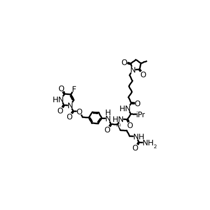 CC1CC(=O)N(CCCCCC(=O)NC(C(=O)N[C@@H](CCCNC(N)=O)C(=O)Nc2ccc(COC(=O)n3cc(F)c(=O)[nH]c3=O)cc2)C(C)C)C1=O